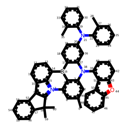 Cc1cc2c3c(c1)-n1c4c(c5cccc(c51)B3c1ccc(N(c3ccccc3C)c3ccccc3C)cc1N2c1cccc2oc3ccccc3c12)-c1ccccc1C4(C)C